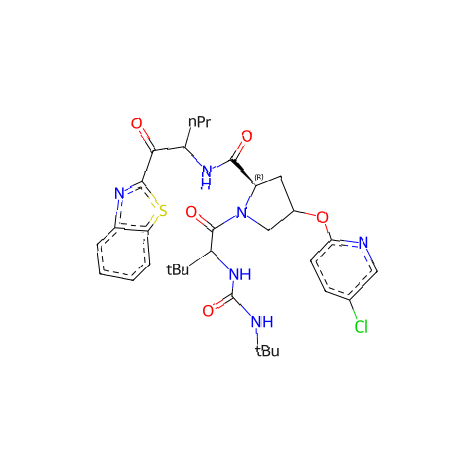 CCCC(NC(=O)[C@H]1CC(Oc2ccc(Cl)cn2)CN1C(=O)C(NC(=O)NC(C)(C)C)C(C)(C)C)C(=O)c1nc2ccccc2s1